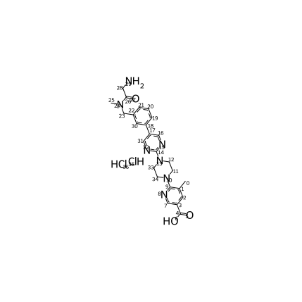 Cc1cc(C(=O)O)cnc1N1CCN(c2ncc(-c3cccc(CN(C)C(=O)CN)c3)cn2)CC1.Cl.Cl